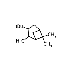 CC1C(C(C)(C)C)CC2CC1C2(C)C